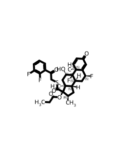 CCC(=O)O[C@]1(C(=O)SCC(=O)c2cccc(F)c2F)[C@H](C)C[C@H]2[C@@H]3C[C@H](F)C4=CC(=O)C=C[C@]4(C)[C@@]3(F)[C@@H](O)C[C@@]21C